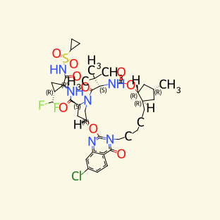 C[C@@H]1C[C@H]2CCCCCn3c(nc4cc(Cl)ccc4c3=O)O[C@@H]3C[C@@H](C(=O)N[C@]4(C(=O)NS(=O)(=O)C5CC5)C[C@H]4C(F)F)N(C3)C(=O)[C@H](C(C)(C)C)NC(=O)O[C@@H]2C1